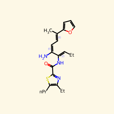 CC/C=C(NC(=O)c1nc(CC)c(CCC)s1)/C(N)=C\C=C(/C)c1ccco1